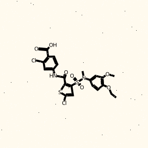 CCOc1ccc(N(C)S(=O)(=O)c2cc(Cl)sc2C(=O)Nc2ccc(C(=O)O)c(Cl)c2)cc1OC